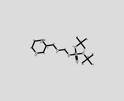 CC(C)(C)OP(=O)(OCOCC1COCCN1)OC(C)(C)C